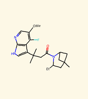 CCC1CC2(C)CC(C2)N1C(=O)CC(C)(C)c1c[nH]c2ncc(OC)c(F)c12